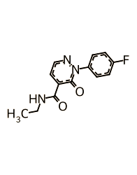 CCNC(=O)c1ccnn(-c2ccc(F)cc2)c1=O